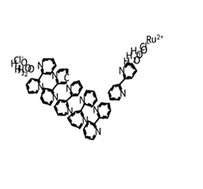 O.O.O.O.O.O.[Cl-].[Cl-].[Ru+2].c1ccc(-c2ccccn2)nc1.c1ccc(-c2ccccn2)nc1.c1ccc(-c2ccccn2)nc1.c1ccc(-c2ccccn2)nc1.c1ccc(-c2ccccn2)nc1.c1ccc(-c2ccccn2)nc1